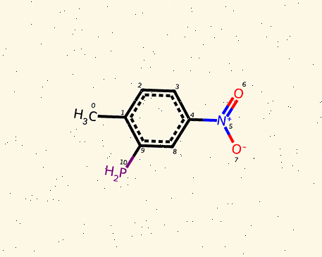 Cc1ccc([N+](=O)[O-])cc1P